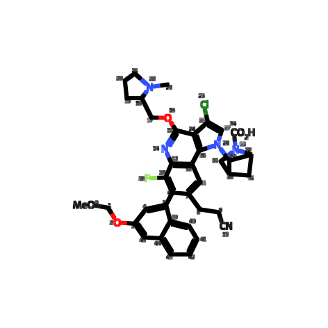 COCOc1cc(-c2c(CCC#N)cc3c(nc(OCC4CCCN4C)c4c(Cl)cn(C5C6CC5N(C(=O)O)C6)c43)c2F)c2ccccc2c1